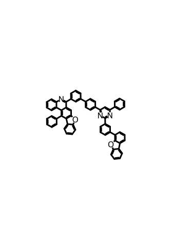 c1ccc(-c2cc(-c3ccc(-c4cccc(-c5nc6ccccc6c6c(-c7ccccc7)c7c(cc56)oc5ccccc57)c4)cc3)nc(-c3cccc(-c4cccc5c4oc4ccccc45)c3)n2)cc1